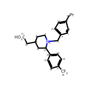 CC(C)c1ccc(CN2CCC(CC(=O)O)CC2c2ccc(C(F)(F)F)cc2)cc1